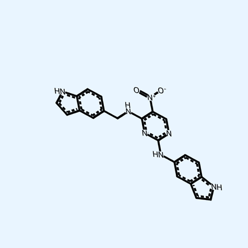 O=[N+]([O-])c1cnc(Nc2ccc3[nH]ccc3c2)nc1NCc1ccc2[nH]ccc2c1